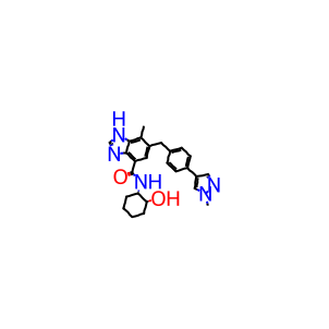 Cc1c(Cc2ccc(-c3cnn(C)c3)cc2)cc(C(=O)N[C@H]2CCCC[C@@H]2O)c2nc[nH]c12